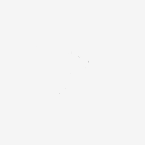 CC1(C)OB(C2CC(C(O)c3ccc(Cl)cc3)=C(c3ncn(C4CCCCO4)n3)S2)OC1(C)C